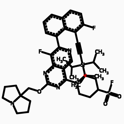 CC(C)[Si](C#Cc1c(F)ccc2cccc(-c3ncc4c(N5CCC(S(=O)(=O)F)CC5)nc(OCC56CCCN5CCC6)nc4c3F)c12)(C(C)C)C(C)C